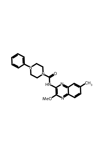 COc1nc2ccc(C)cc2nc1NC(=O)N1CCN(c2ccccc2)CC1